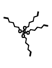 C=CCCCCO[Si](OCCCCC=C)(OCCCCC=C)OCCCCC=C